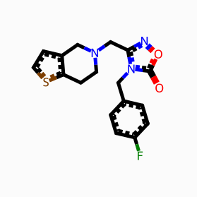 O=c1onc(CN2CCc3sccc3C2)n1Cc1ccc(F)cc1